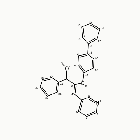 COC(C(=Cc1cccnc1)Oc1ccc(-c2ccccc2)cc1)c1ccccc1